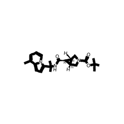 Cc1cccn2c(C(C)(C)NC(=O)[C@H]3[C@@H]4CN(C(=O)OC(C)(C)C)C[C@@H]43)ccc12